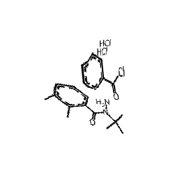 Cc1cccc(C(=O)N(N)C(C)(C)C)c1C.Cl.Cl.O=C(Cl)c1ccccc1